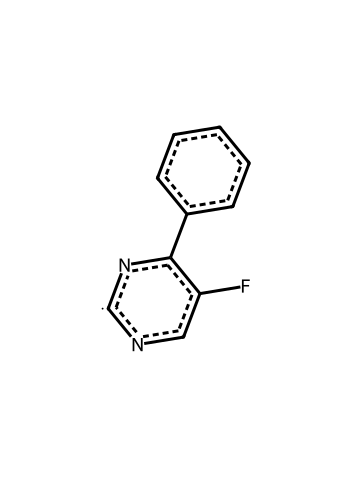 Fc1cn[c]nc1-c1ccccc1